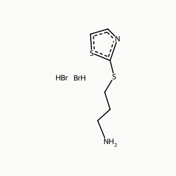 Br.Br.NCCCSc1nccs1